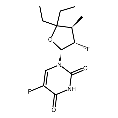 CCC1(CC)O[C@@H](n2cc(F)c(=O)[nH]c2=O)[C@@H](F)[C@@H]1C